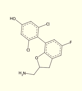 NCC1Cc2cc(F)cc(-c3c(Cl)cc(O)cc3Cl)c2O1